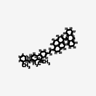 Cc1ccccc1NC1=CC2C(C=C1)c1ccc(/C=C/c3ccc4ccc5c(N6c7ccccc7Sc7ccccc76)ccc6ccc3c4c65)cc1C2(C)C